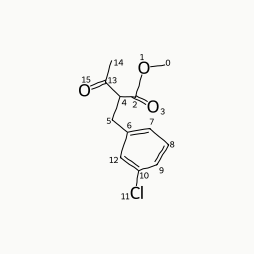 COC(=O)C(Cc1cccc(Cl)c1)C(C)=O